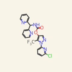 O=C(NC(c1ccccn1)c1ccccn1)Oc1cnn(-c2cccc(Cl)n2)c1C(F)(F)F